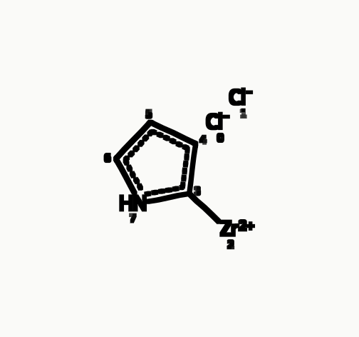 [Cl-].[Cl-].[Zr+2][c]1ccc[nH]1